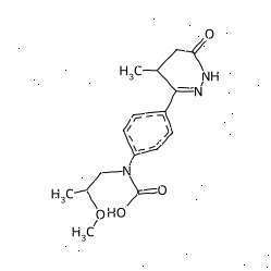 COC(C)CN(C(=O)O)c1ccc(C2=NNC(=O)CC2C)cc1